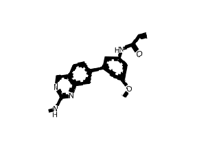 C=CC(=O)Nc1cc(OC)cc(-c2ccc3cnc(NC)nc3c2)c1